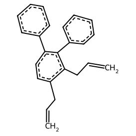 C=CCc1ccc(-c2ccccc2)c(-c2ccccc2)c1CC=C